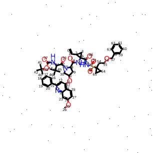 C=CC1CC1(NC(=O)C1CC(Oc2cc(-c3ccccc3)nc3cc(OC)ccc23)CN1C(=O)C(NC(=O)OC(C)(C)C)C(C)(C)C)C(=O)NS(=O)(=O)C1(CCOCc2ccccc2)CC1